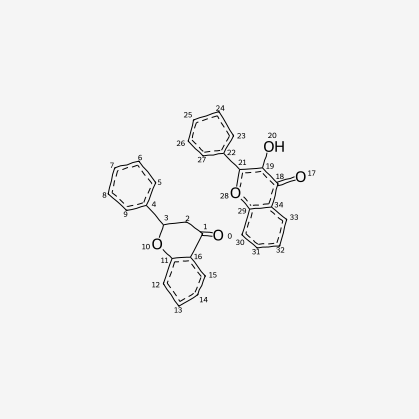 O=C1CC(c2ccccc2)Oc2ccccc21.O=c1c(O)c(-c2ccccc2)oc2ccccc12